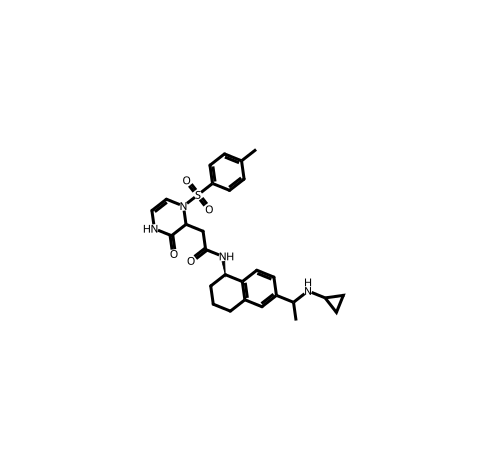 Cc1ccc(S(=O)(=O)N2C=CNC(=O)C2CC(=O)N[C@@H]2CCCc3cc(C(C)NC4CC4)ccc32)cc1